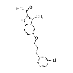 Cc1c(C(=O)O)oc2ccc(OCCCc3cccc(Cl)c3)cc12